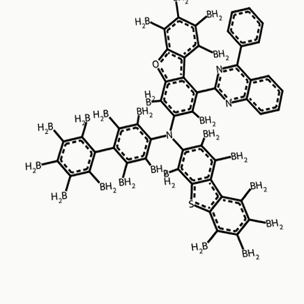 Bc1c(B)c(B)c(-c2c(B)c(B)c(N(c3c(B)c(-c4nc(-c5ccccc5)c5ccccc5n4)c4c(oc5c(B)c(B)c(B)c(B)c54)c3B)c3c(B)c(B)c4c(sc5c(B)c(B)c(B)c(B)c54)c3B)c(B)c2B)c(B)c1B